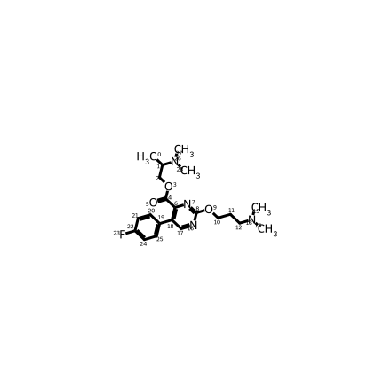 CC(COC(=O)c1nc(OCCCN(C)C)ncc1-c1ccc(F)cc1)N(C)C